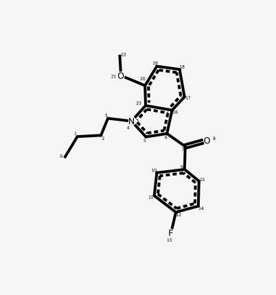 CCCCn1cc(C(=O)c2ccc(F)cc2)c2cccc(OC)c21